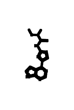 COC(C)C(=O)Nc1nc(-c2ncnc3[nH]ccc23)cs1